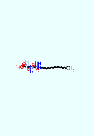 CCCCCCCCCCCCCCCCCCNC(=O)NCC(=O)NCC(=O)NCC(=O)O